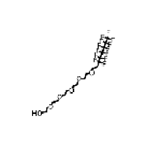 OCCOCCOCCOCCOCCOCCC(F)(F)C(F)(F)C(F)(F)C(F)(F)C(F)(F)C(F)(F)F